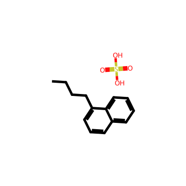 CCCCc1cccc2ccccc12.O=S(=O)(O)O